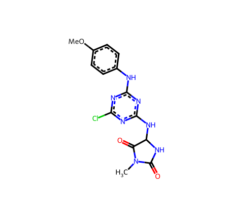 COc1ccc(Nc2nc(Cl)nc(NC3NC(=O)N(C)C3=O)n2)cc1